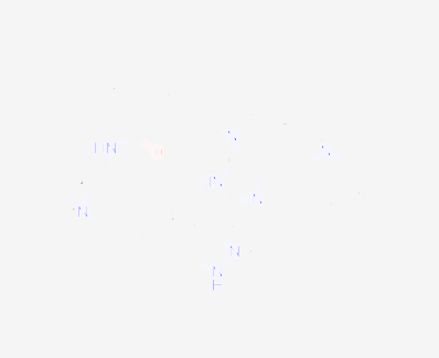 O=C(Nc1cncc(-c2ccc3[nH]nc(-c4nc5c(-c6ccccn6)ccnc5[nH]4)c3c2)c1)C1CCC1